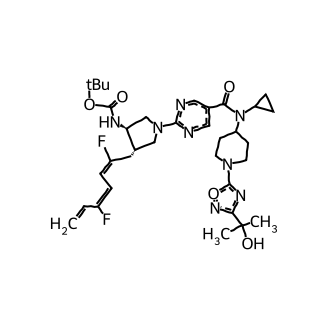 C=C/C(F)=C\C=C(\F)C[C@H]1CN(c2ncc(C(=O)N(C3CC3)C3CCN(c4nc(C(C)(C)O)no4)CC3)cn2)C[C@@H]1NC(=O)OC(C)(C)C